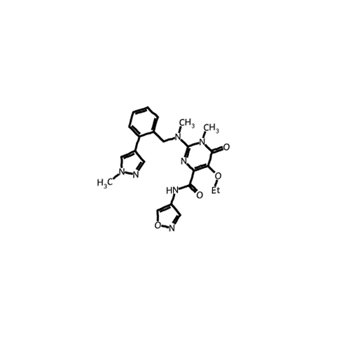 CCOc1c(C(=O)Nc2cnoc2)nc(N(C)Cc2ccccc2-c2cnn(C)c2)n(C)c1=O